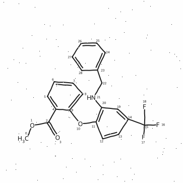 COC(=O)c1ccccc1Oc1ccc(C(F)(F)F)cc1NCc1ccccc1